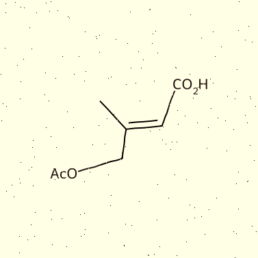 CC(=O)OC/C(C)=C/C(=O)O